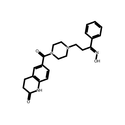 O=C1CCc2cc(C(=O)N3CCN(CC/C(=N\O)c4ccccc4)CC3)ccc2N1